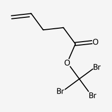 C=CCCC(=O)OC(Br)(Br)Br